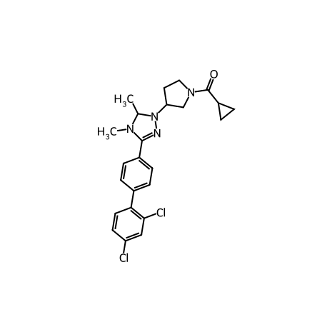 CC1N(C)C(c2ccc(-c3ccc(Cl)cc3Cl)cc2)=NN1C1CCN(C(=O)C2CC2)C1